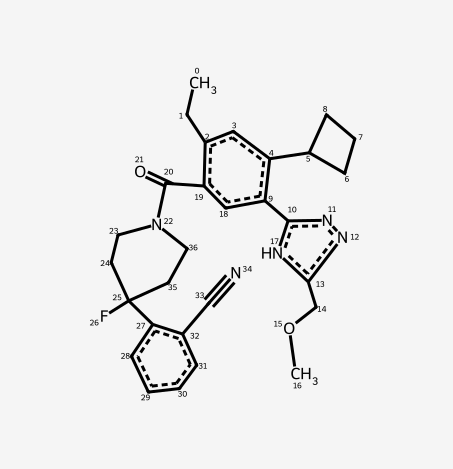 CCc1cc(C2CCC2)c(-c2nnc(COC)[nH]2)cc1C(=O)N1CCC(F)(c2ccccc2C#N)CC1